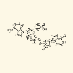 Nc1ncnc2c1ncn2[C@@H]1O[C@H](COP(O)(O)=S)C(OP(O)(=S)OC[C@H]2O[C@@H](n3cnc4c(=O)[nH]ccc43)C[C@H]2F)[C@@H]1F